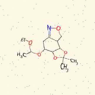 CCOC(C)OC1CC2=NOCC2C2OC(C)(C)OC12